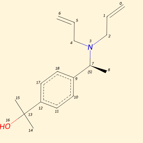 C=CCN(CC=C)[C@@H](C)c1ccc(C(C)(C)O)cc1